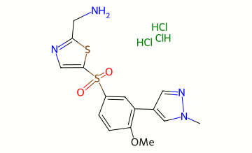 COc1ccc(S(=O)(=O)c2cnc(CN)s2)cc1-c1cnn(C)c1.Cl.Cl.Cl